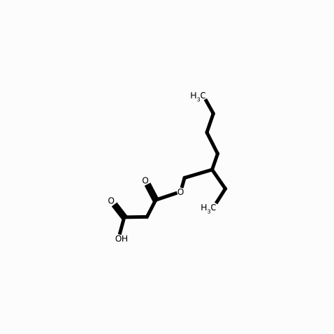 CCCCC(CC)COC(=O)CC(=O)O